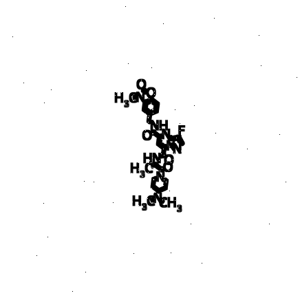 C[C@H](NC(=O)c1cc(C(=O)NCc2ccc3oc(=O)n(C)c3c2)nc2c(F)cnn12)C(=O)N1CCC(N(C)C)CC1